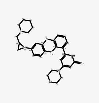 O=c1cc(N2CCOCC2)cc(-c2cccc3c2Sc2ccc(N4CC4CN4CCCCC4)cc2S3)[nH]1